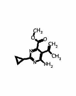 C=C(C)c1c(N)nc(C2CC2)nc1C(=O)OC